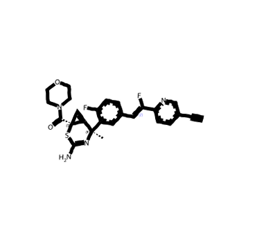 C#Cc1ccc(/C(F)=C/c2ccc(F)c([C@@]3(C)N=C(N)S[C@@]4(C(=O)N5CCOCC5)C=C43)c2)nc1